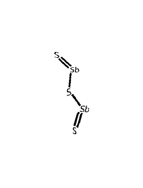 [S]=[Sb][S][Sb]=[S]